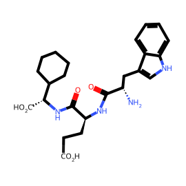 N[C@@H](Cc1c[nH]c2ccccc12)C(=O)N[C@@H](CCC(=O)O)C(=O)N[C@H](C(=O)O)C1CCCCC1